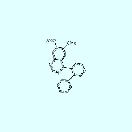 COc1cc2ncnc(-c3ccccc3-c3ccccc3)c2cc1OC